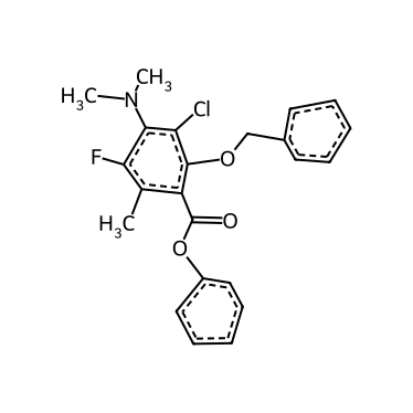 Cc1c(F)c(N(C)C)c(Cl)c(OCc2ccccc2)c1C(=O)Oc1ccccc1